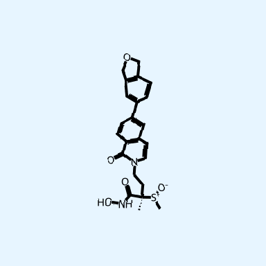 C[S+]([O-])[C@](C)(CCn1ccc2cc(-c3ccc4c(c3)COC4)ccc2c1=O)C(=O)NO